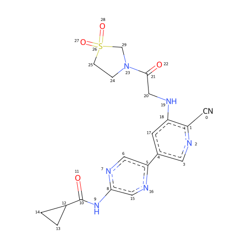 N#Cc1ncc(-c2cnc(NC(=O)C3CC3)cn2)cc1NCC(=O)N1CCS(=O)(=O)C1